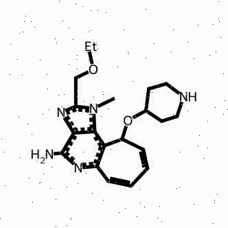 CCOCc1nc2c(N)nc3c(c2n1C)C(OC1CCNCC1)C=CC=C3